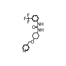 O=C(Nc1cccc(C(F)(F)F)c1)NC1CCC(OCc2ccncc2)CC1